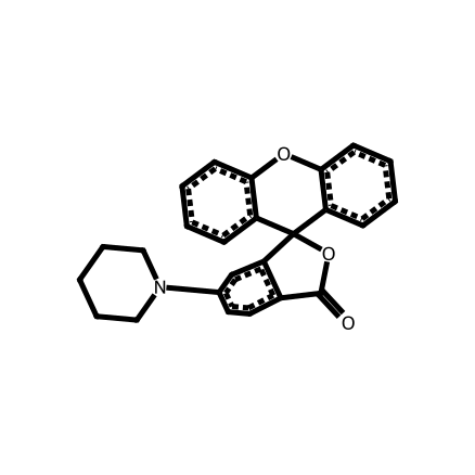 O=C1OC2(c3ccccc3Oc3ccccc32)c2cc(N3CCCCC3)ccc21